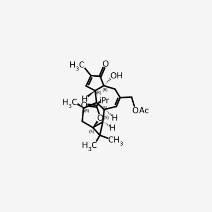 CC(=O)OCC1=C[C@@H]2C([C@H](C)C[C@]3(OC(=O)C(C)C)[C@@H]2C3(C)C)[C@@H]2C=C(C)C(=O)[C@@]2(O)C1